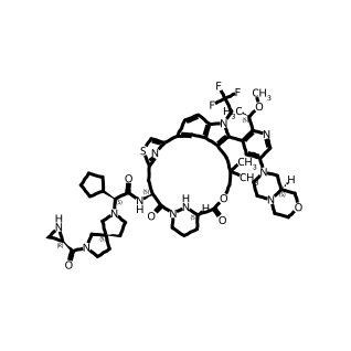 CO[C@@H](C)c1ncc(N2CCN3CCOC[C@@H]3C2)cc1-c1c2c3cc(ccc3n1CC(F)(F)F)-c1csc(n1)C[C@H](NC(=O)[C@H](C1CCCC1)N1CC[C@]3(CCN(C(=O)[C@H]4CN4)C3)C1)C(=O)N1CCC[C@H](N1)C(=O)OCC(C)(C)C2